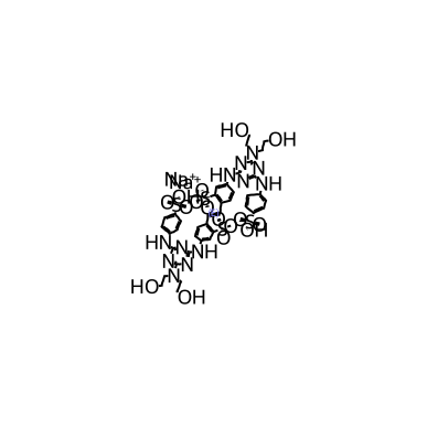 O=S(=O)([O-])c1cc(Nc2nc(Nc3ccc(S(=O)(=O)O)cc3)nc(N(CCO)CCO)n2)ccc1/C=C/c1ccc(Nc2nc(Nc3ccc(S(=O)(=O)O)cc3)nc(N(CCO)CCO)n2)cc1S(=O)(=O)[O-].[Na+].[Na+]